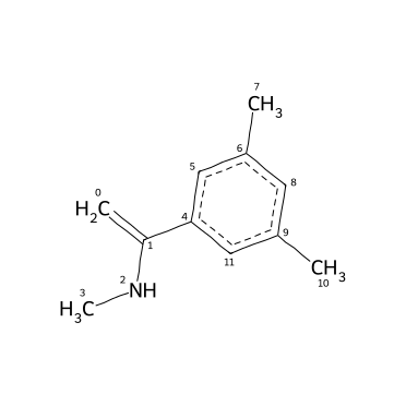 C=C(NC)c1cc(C)cc(C)c1